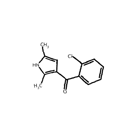 Cc1cc(C(=O)c2ccccc2Cl)c(C)[nH]1